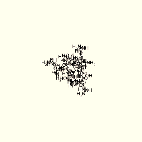 CC(C)C[C@H](NC(=O)[C@H](CO)NC(=O)[C@H](CCCNC(=N)N)NC(=O)[C@H](CC(C)C)NC(=O)[C@H](CC(C)C)NC(=O)[C@H](CO)NC(=O)[C@H](CCCNC(=N)N)NC(=O)[C@H](CCCNC(=N)N)NC(=O)[C@H](C)N)C(=O)N[C@@H](CC(N)=O)C(=O)N[C@@H](CCCNC(=N)N)C(=O)N[C@@H](CCCNC(=N)N)C(=O)O